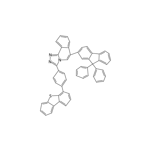 c1ccc(C2(c3ccccc3)c3ccccc3-c3ccc(-c4cn5c(-c6ccc(-c7cccc8c7sc7ccccc78)cc6)nnc5c5ccccc45)cc32)cc1